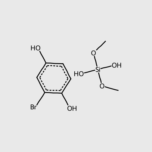 CO[Si](O)(O)OC.Oc1ccc(O)c(Br)c1